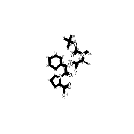 C[C@@H](C(=O)N[C@H](C(=O)N1CCCC1C(=O)O)C1CCCCC1)N(C)C(=O)OC(C)(C)C